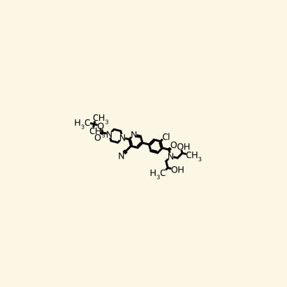 CC(O)CN(CC(C)O)C(=O)c1ccc(-c2cnc(N3CCN(C(=O)OC(C)(C)C)CC3)c(C#N)c2)cc1Cl